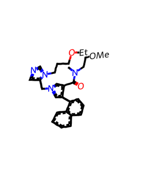 CCOCCCn1cncc1Cn1cc(C(=O)N(C)CCOC)c(-c2cccc3ccccc23)c1